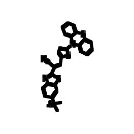 C[Si](C)(C)c1ccc2nc(/C(C#N)=C/c3ccc(N4c5ccccc5Sc5ccccc54)s3)sc2c1